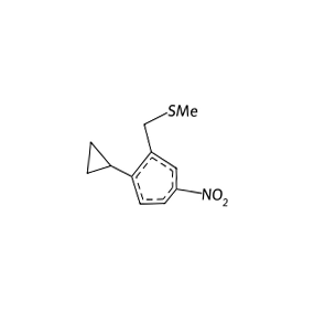 CSCc1cc([N+](=O)[O-])ccc1C1CC1